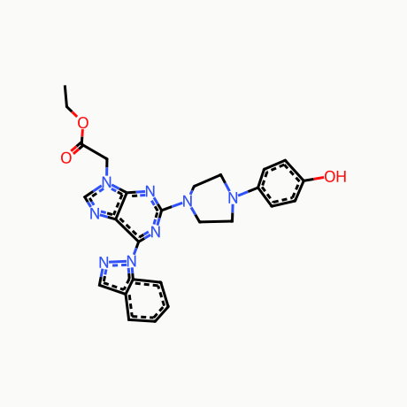 CCOC(=O)Cn1cnc2c(-n3ncc4ccccc43)nc(N3CCN(c4ccc(O)cc4)CC3)nc21